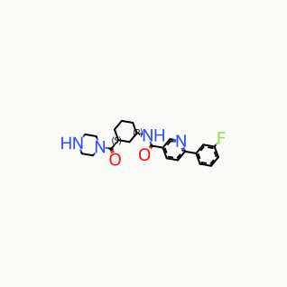 O=C(N[C@@H]1CCC[C@H](C(=O)N2CCNCC2)C1)c1ccc(-c2cccc(F)c2)nc1